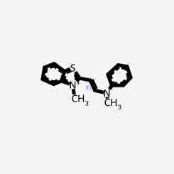 CN(/C=C/c1sc2ccccc2[n+]1C)c1ccccc1